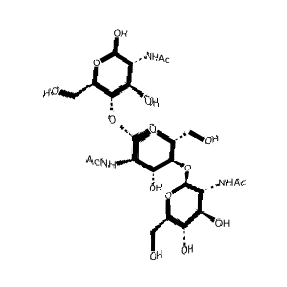 CC(=O)N[C@H]1[C@H](O[C@H]2[C@H](O)[C@@H](NC(C)=O)C(O)O[C@@H]2CO)O[C@H](CO)[C@@H](O[C@@H]2O[C@H](CO)[C@@H](O)[C@H](O)[C@H]2NC(C)=O)[C@@H]1O